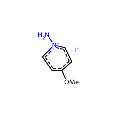 COc1cc[n+](N)cc1.[I-]